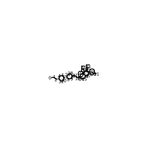 CCC[C@H]1CC[C@H](C2CCC(CCC3CCc4cc(OCC)c(F)c(F)c4O3)CC2)CC1